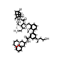 COc1c(CN2O[C@@H](CN)[C@@H]([C@H](C)O)[C@H]2C(=O)N[C@H]2C[C@H]3CC([C@@H]2C)C3(C)C)cccc1-c1cc(C(=O)NC(Cc2ccccc2)CN2CCCCC2)cc(N(C)CCO)c1